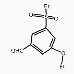 CCOc1cc(C=O)cc(S(=O)(=O)CC)c1